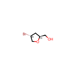 OC[C@@H]1C[C@@H](Br)CO1